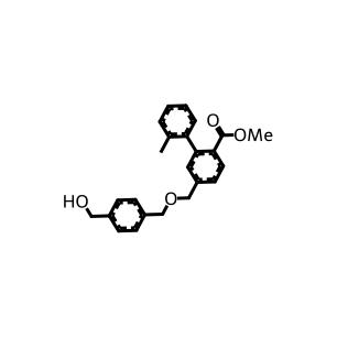 COC(=O)c1ccc(COCc2ccc(CO)cc2)cc1-c1ccccc1C